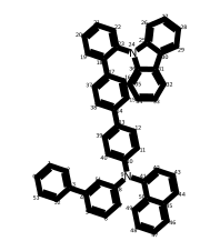 c1ccc(-c2cccc(N(c3ccc(-c4ccc(-c5ccccc5-n5c6ccccc6c6ccccc65)cc4)cc3)c3cccc4ccccc34)c2)cc1